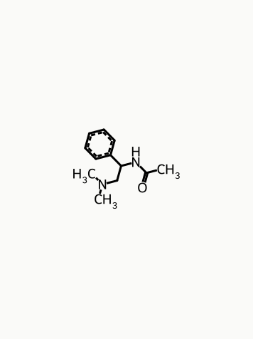 CC(=O)NC(CN(C)C)c1ccccc1